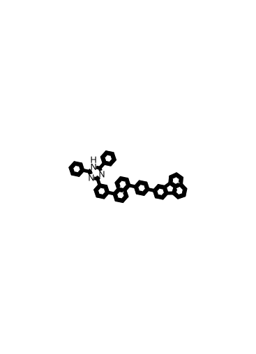 c1ccc(C2=NC(c3cccc(-c4cccc5c(-c6ccc(-c7ccc8c(c7)-c7cccc9cccc-8c79)cc6)cccc45)c3)=NC(c3ccccc3)N2)cc1